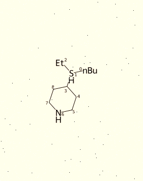 CCCC[SH](CC)C1CCNCC1